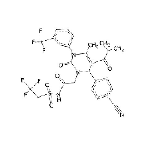 CC1=C(C(=O)C(C)C)C(c2ccc(C#N)cc2)N(CC(=O)NS(=O)(=O)CC(F)(F)F)C(=O)N1c1cccc(C(F)(F)F)c1